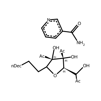 CCCCCCCCCCCCC1O[C@H](C(O)C(C)=O)[C@](O)(C(C)=O)[C@]1(O)C(C)=O.NC(=O)c1cccnc1